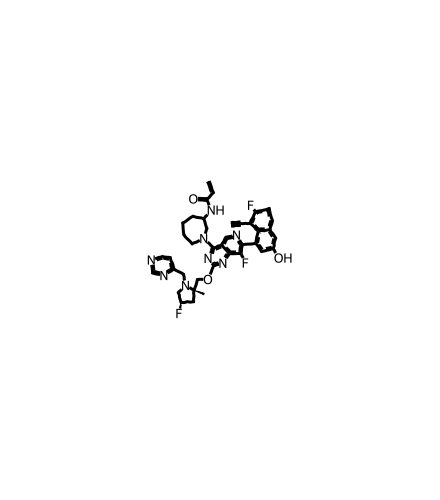 C#Cc1c(F)ccc2cc(O)cc(-c3ncc4c(N5CCCCC(NC(=O)C=C)C5)nc(OC[C@]5(C)C[C@@H](F)CN5Cc5ccncn5)nc4c3F)c12